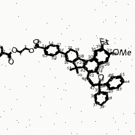 C=C(C)C(=O)OCCOC(=O)c1ccc(C2=CC3=C(CC2)c2c(c4c(c5cc(OC)c(CC)cc25)OC(c2ccccc2)(c2ccccc2)C=C4)C3(C)C)cc1